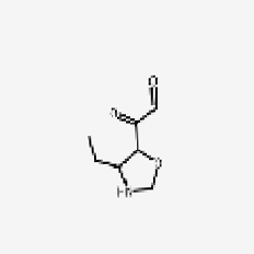 CCC1NCOC1C(=O)C=O